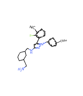 COc1ccc(-n2nc(NCC3CCCC(CN)C3)cc2-c2cccc(C#N)c2F)cc1